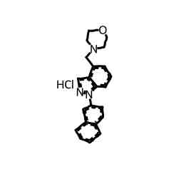 Cl.c1ccc2cc(-n3ncc4c(CN5CCOCC5)cccc43)ccc2c1